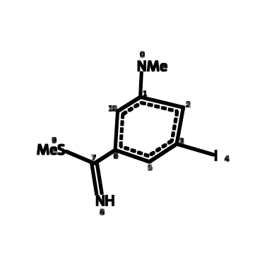 CNc1cc(I)cc(C(=N)SC)c1